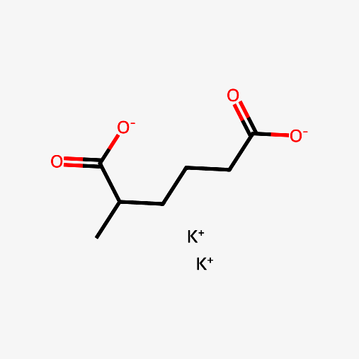 CC(CCCC(=O)[O-])C(=O)[O-].[K+].[K+]